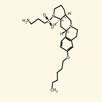 CCCCCCOc1ccc2c(c1)CCN1C[C@@H]3CCCN(S(=O)(=O)CCCN)[C@@H]3C[C@@H]21